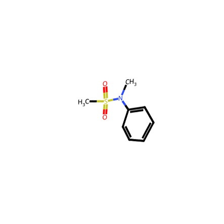 CN(c1ccccc1)S(C)(=O)=O